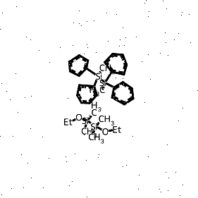 CCO[Si](C)(C)[Si](C)(C)OCC.C[Si](c1ccccc1)(c1ccccc1)[Si](C)(c1ccccc1)c1ccccc1